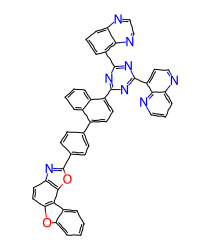 c1cc(-c2nc(-c3ccc(-c4ccc(-c5nc6ccc7oc8ccccc8c7c6o5)cc4)c4ccccc34)nc(-c3ccnc4cccnc34)n2)c2nccnc2c1